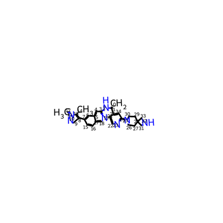 C=C(Nc1cc2cc(-c3cnn(C)c3C)ccc2cn1)c1ccnc(N2CCC3(CC2)CNC3)c1